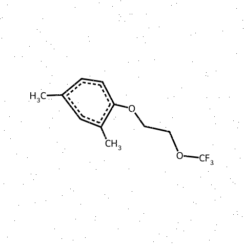 Cc1ccc(OCCOC(F)(F)F)c(C)c1